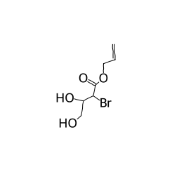 C=CCOC(=O)C(Br)C(O)CO